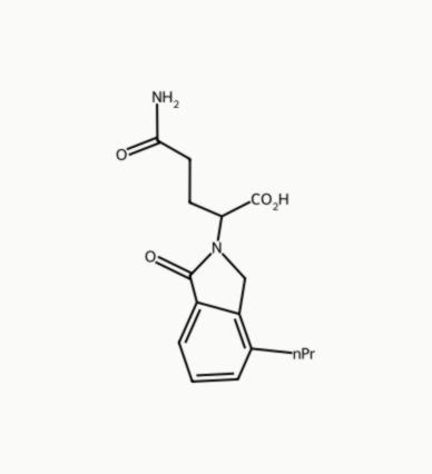 CCCc1cccc2c1CN(C(CCC(N)=O)C(=O)O)C2=O